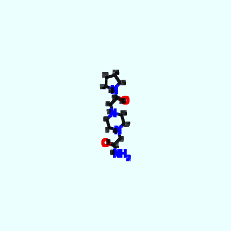 NC(=O)CN1CCN(CC(=O)N2CCCC2)CC1